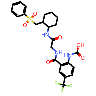 O=C(O)Nc1ccc(C(F)(F)F)cc1C(=O)NCC(=O)NC1CCCCC1CS(=O)(=O)c1ccccc1